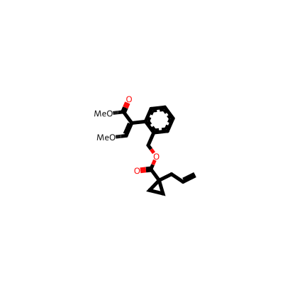 C=CCC1(C(=O)OCc2ccccc2/C(=C/OC)C(=O)OC)CC1